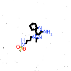 Cc1nc2c(N)nc3ccccc3c2n1CCCCNS(C)(=O)=O